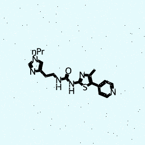 CCCn1cnc(CCNC(=O)Nc2nc(C)c(-c3ccncc3)s2)c1